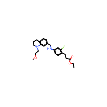 CCOC(=O)CCc1ccc(NCc2ccc3c(c2)N(CCOC)CCC3)cc1F